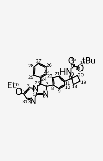 CCOC1=CN2C(=NC(c3ccc(C4(NC(=O)OC(C)(C)C)CCC4)cc3)C2c2ccccc2)N=C1